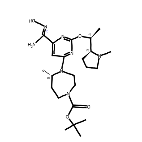 C[C@H](Oc1nc(/C(N)=N/O)cc(N2CCN(C(=O)OC(C)(C)C)CC[C@@H]2C)n1)[C@@H]1CCCN1C